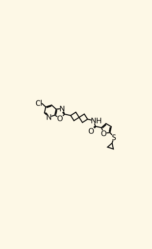 O=C(NC1CC2(C1)CC(c1nc3cc(Cl)cnc3o1)C2)c1ccc(SC2CC2)o1